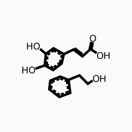 O=C(O)C=Cc1ccc(O)c(O)c1.OCCc1ccccc1